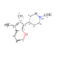 Cc1c2cccoc-2c(C2CCN(C=O)CC2)c1C